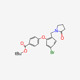 CC(C)(C)OC(=O)c1ccc(Oc2cc(Br)ccc2CN2CCCC2=O)cc1